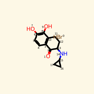 Br.O=C1c2ccc(O)c(O)c2CCC1NC1CC1